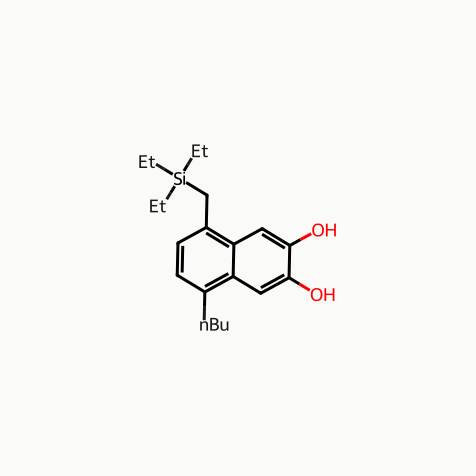 CCCCc1ccc(C[Si](CC)(CC)CC)c2cc(O)c(O)cc12